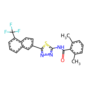 Cc1cccc(C)c1C(=O)Nc1nnc(-c2ccc3c(C(F)(F)F)cccc3c2)s1